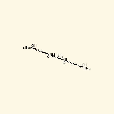 CCCCCCC(O)CCCCCCCCCCC(=O)NCCCC(N)CCCNC(=O)CCCCCCCCCCC(O)CCCCCC